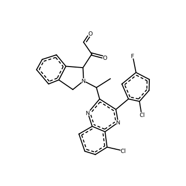 CC(c1nc2cccc(Cl)c2nc1-c1cc(F)ccc1Cl)N1Cc2ccccc2C1C(=O)C=O